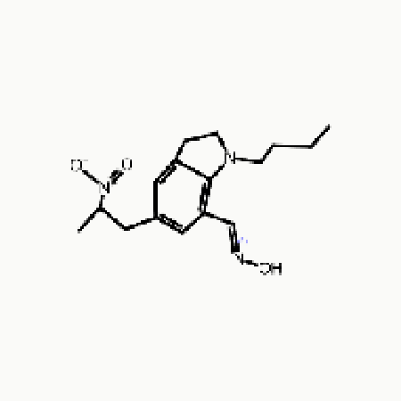 CCCCN1CCc2cc(CC(C)[N+](=O)[O-])cc(/C=N/O)c21